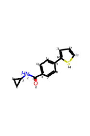 O=C(NC1CC1)c1ccc(-c2cccs2)cc1